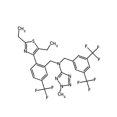 CCc1nc(-c2ccc(C(F)(F)F)cc2CN(Cc2cc(C(F)(F)F)cc(C(F)(F)F)c2)c2nnn(C)n2)c(CC)s1